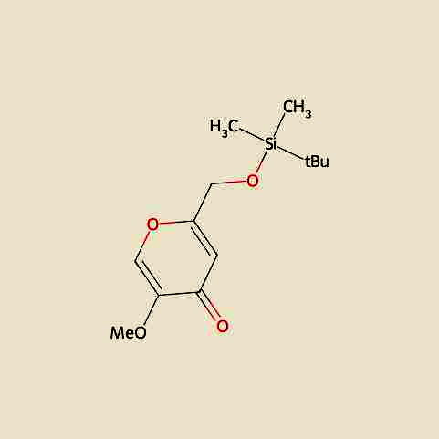 COc1coc(CO[Si](C)(C)C(C)(C)C)cc1=O